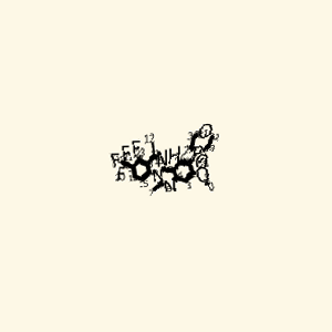 COc1cc2nc(C)nc(N[C@H](C)c3cccc(C(F)(F)F)c3F)c2cc1P1(=O)CCOCC1